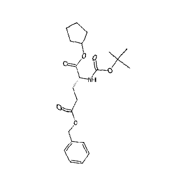 CC(C)(C)OC(=O)N[C@H](CCC(=O)OCc1ccccc1)C(=O)OC1CCCC1